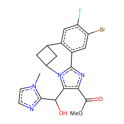 COC(=O)c1nc2n(c1C(O)c1nccn1C)C1CC(C1)c1cc(F)c(Br)cc1-2